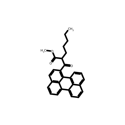 CCCCCC(C(=O)OC)C(=O)c1ccc2cccc3c4cccc5cccc(c1c23)c54